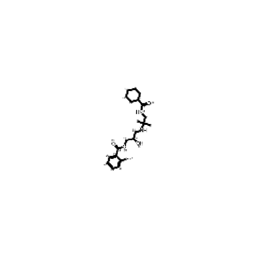 CC(C)(CNC(=O)C1CCCCC1)NCC(O)COC(=O)c1ccccc1F